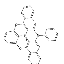 S=P12c3c4cccc3Oc3c1c(cc1ccccc31)N(c1ccccc1)c1cc3ccccc3c(c12)O4